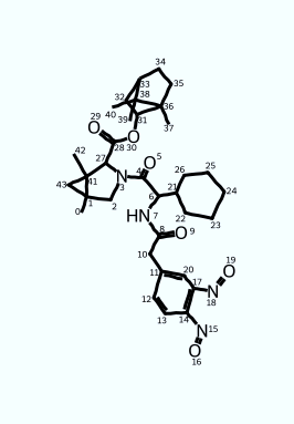 CC12CN(C(=O)C(NC(=O)Cc3ccc(N=O)c(N=O)c3)C3CCCCC3)C(C(=O)OC3CC4CCC3(C)C4(C)C)C1(C)C2